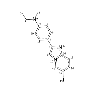 CCN(C)c1ccc(-c2cn3cc(I)ccc3n2)cc1